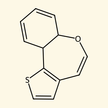 C1=CC2OC=Cc3ccsc3C2C=C1